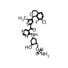 Cc1sc(C(=O)c2cncnc2N[C@@H]2C[C@H](COS(N)(=O)=O)[C@@H](O)C2)cc1C1OCCc2ccc(Cl)c(F)c21